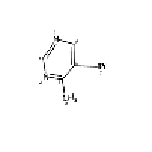 Cc1ncncc1C(C)C